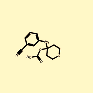 N#Cc1cccc(NC2(OC(=O)O)CCSCC2)c1